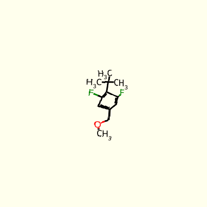 COCc1cc(F)c(C(C)(C)C)c(F)c1